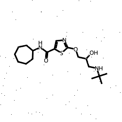 CC(C)(C)NCC(O)COc1ncc(C(=O)NC2CCCCCC2)s1